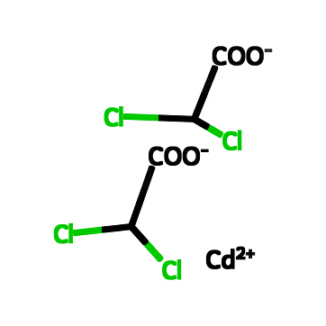 O=C([O-])C(Cl)Cl.O=C([O-])C(Cl)Cl.[Cd+2]